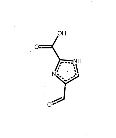 O=Cc1c[nH]c(C(=O)O)n1